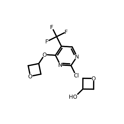 FC(F)(F)c1cnc(Cl)nc1OC1COC1.OC1COC1